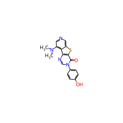 CN(C)c1cncc2sc3c(=O)n(-c4ccc(O)cc4)cnc3c12